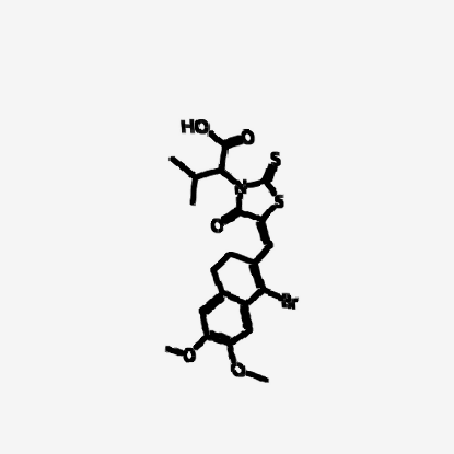 COc1cc2c(cc1OC)C(Br)=C(/C=C1/SC(=S)N(C(C(=O)O)C(C)C)C1=O)CC2